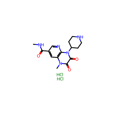 CNC(=O)c1cnc2c(c1)n(C)c(=O)c(=O)n2C1CCNCC1.Cl.Cl